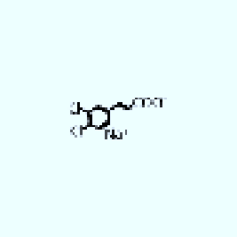 O=C([O-])C=Cc1ccc(Cl)c(Cl)c1.[Na+]